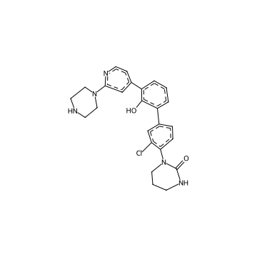 O=C1NCCCN1c1ccc(-c2cccc(-c3ccnc(N4CCNCC4)c3)c2O)cc1Cl